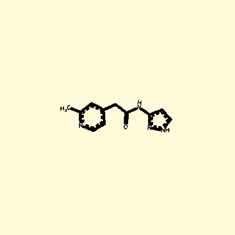 Cc1cc(CC(=O)Nc2cc[nH]n2)ccn1